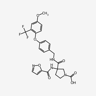 COc1ccc(Oc2ccc(CNC(=O)C3(NC(=O)c4ccno4)CCN(C(=O)O)C3)cc2)c(C(F)(F)F)c1